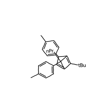 CCCC1[C]=C2C(C(C)(C)C)=C1C2(c1ccc(C)cc1)c1ccc(C)cc1